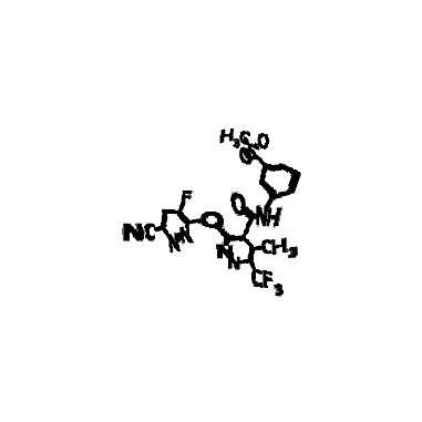 Cc1c(C(F)(F)F)nnc(Oc2nnc(C#N)cc2F)c1C(=O)Nc1cccc(S(C)(=O)=O)c1